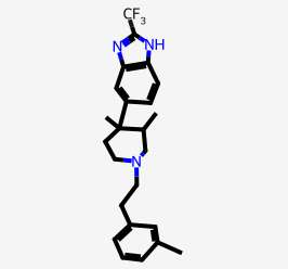 Cc1cccc(CCN2CCC(C)(c3ccc4[nH]c(C(F)(F)F)nc4c3)C(C)C2)c1